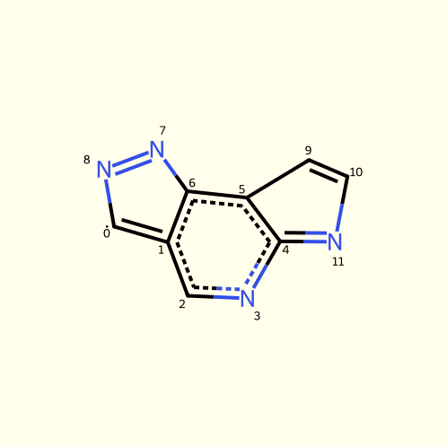 [C]1=c2cnc3c(c2N=N1)C=CN=3